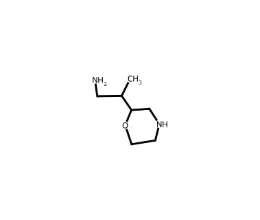 CC(CN)C1CNCCO1